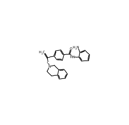 C=C(CN1CCc2ccccc2C1)c1ccc(C(=O)Nc2ccccc2N)cc1